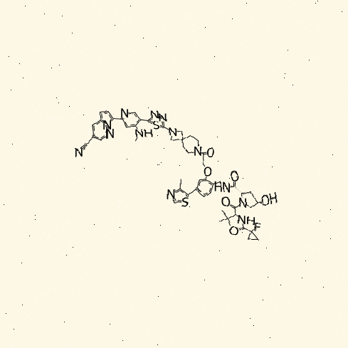 CNc1cc(-c2ccc3cc(C#N)cnn23)ncc1-c1nnc(N2CC3(CCN(C(=O)COc4cc(-c5scnc5C)ccc4CNC(=O)[C@@H]4C[C@@H](O)CN4C(=O)[C@@H](NC(=O)C4(F)CC4)C(C)(C)C)CC3)C2)s1